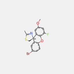 COc1cc(F)c2c(c1)[C@]1(CSC(C)=N1)c1cc(Br)ccc1O2